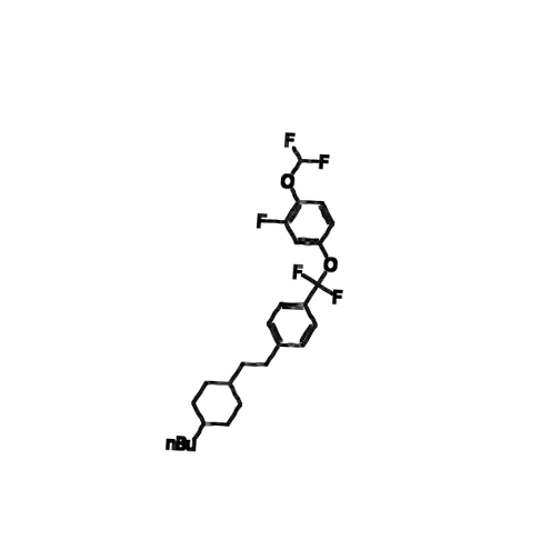 CCCCC1CCC(CCc2ccc(C(F)(F)Oc3ccc(OC(F)F)c(F)c3)cc2)CC1